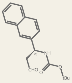 CC(C)(C)OC(=O)N[C@@H](CC=O)c1ccc2ccccc2c1